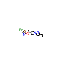 C=Cc1ccc(N2CCC(C(C)Oc3ncc(Br)s3)CC2)nc1